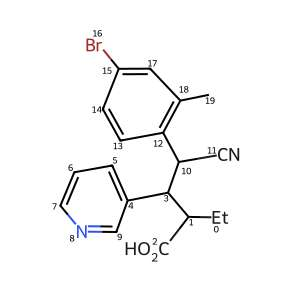 CCC(C(=O)O)C(c1cccnc1)C(C#N)c1ccc(Br)cc1C